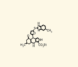 C=C1CC(=O)C2=C(C1)Nc1c(c[nH]c1C(=O)OCC)C2c1ccc(Sc2nc3cc(C)ccc3[nH]2)o1